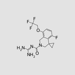 NC(N)=NC(=O)N1Cc2c(OCC(F)(F)F)ccc(F)c2C2(CC2)C1